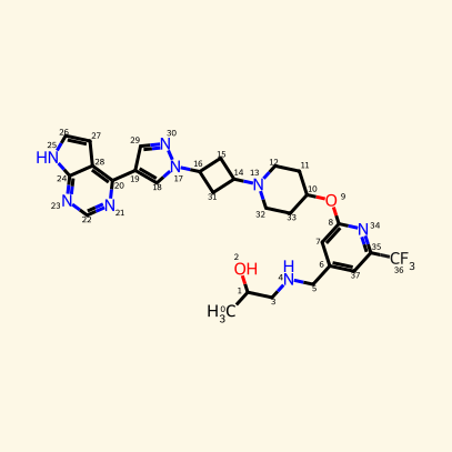 CC(O)CNCc1cc(OC2CCN(C3CC(n4cc(-c5ncnc6[nH]ccc56)cn4)C3)CC2)nc(C(F)(F)F)c1